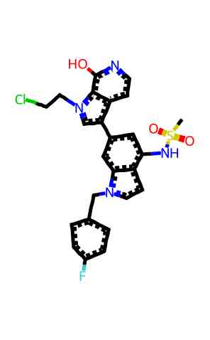 CS(=O)(=O)Nc1cc(-c2cn(CCCl)c3c(O)nccc23)cc2c1ccn2Cc1ccc(F)cc1